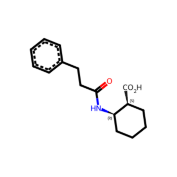 O=C(CCc1ccccc1)N[C@@H]1CCCC[C@@H]1C(=O)O